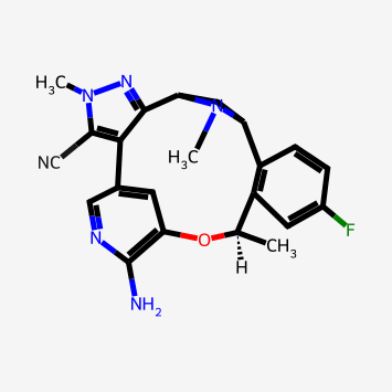 C[C@H]1Oc2cc(cnc2N)-c2c(nn(C)c2C#N)C2CC(c3ccc(F)cc31)N2C